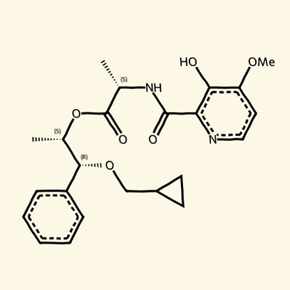 COc1ccnc(C(=O)N[C@@H](C)C(=O)O[C@@H](C)[C@H](OCC2CC2)c2ccccc2)c1O